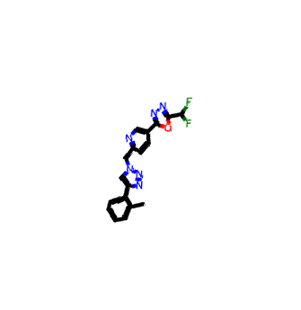 Cc1ccccc1-c1cn(Cc2ccc(-c3nnc(C(F)F)o3)cn2)nn1